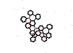 c1ccc(-c2ccccc2N(c2ccc3c(c2)-c2ccccc2-c2ccccc2N3c2ccccc2)c2ccc3c(c2)C2(c4ccccc4-c4ccccc4-3)c3ccccc3-c3c2ccc2sc4ccccc4c32)cc1